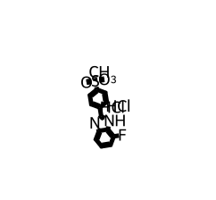 CS(=O)(=O)c1ccc(-c2nc3cccc(F)c3[nH]2)cc1.Cl.Cl